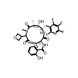 C[C@H]1NC(=O)C(C2COC2)N(C)C(=O)[C@H](C)[C@H](O)[C@H](Cc2c(F)nc(F)c(F)c2F)NC(=O)[C@H]1NC(=O)c1ccccc1O